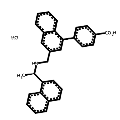 C[C@@H](NCc1cc(-c2ccc(C(=O)O)cc2)c2ccccc2c1)c1cccc2ccccc12.Cl